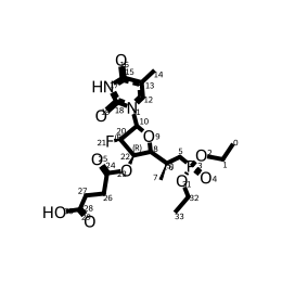 CCOP(=O)(C[C@@H](C)C1OC(n2cc(C)c(=O)[nH]c2=O)[C@H](F)[C@@H]1OC(=O)CCC(=O)O)OCC